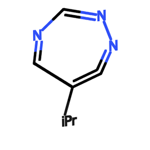 CC(C)C1=C=NN=CN=C1